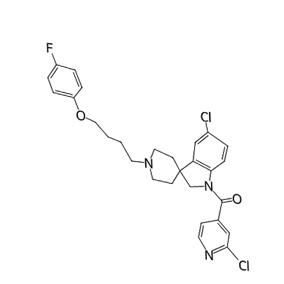 O=C(c1ccnc(Cl)c1)N1CC2(CCN(CCCCOc3ccc(F)cc3)CC2)c2cc(Cl)ccc21